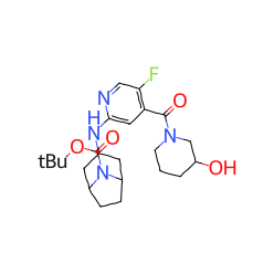 CC(C)(C)OC(=O)N1C2CCC1CC(Nc1cc(C(=O)N3CCCC(O)C3)c(F)cn1)C2